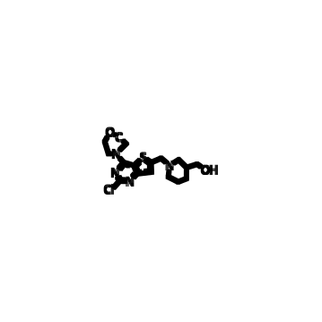 OCC1CCCN(Cc2cc3nc(Cl)nc(N4CCOCC4)c3s2)C1